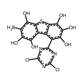 Bc1c(O)c(O)c2c(sc3c(O)c(O)c(O)c(-c4nc(Cl)nc(Cl)n4)c32)c1O